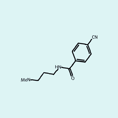 CNCCCNC(=O)c1ccc(C#N)cc1